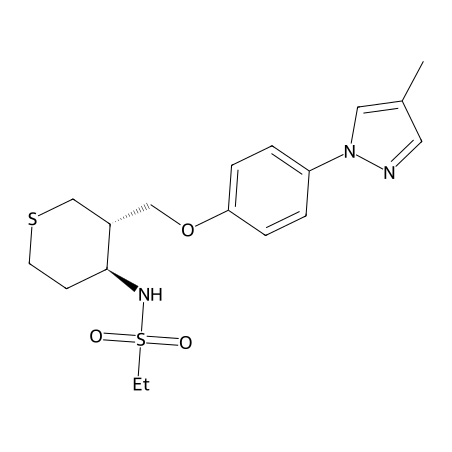 CCS(=O)(=O)N[C@H]1CCSC[C@@H]1COc1ccc(-n2cc(C)cn2)cc1